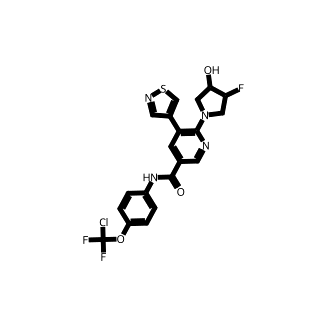 O=C(Nc1ccc(OC(F)(F)Cl)cc1)c1cnc(N2CC(O)C(F)C2)c(-c2cnsc2)c1